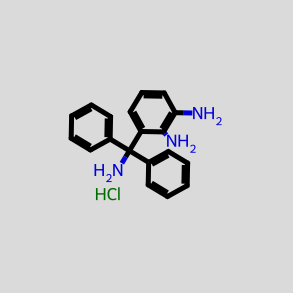 Cl.Nc1cccc(C(N)(c2ccccc2)c2ccccc2)c1N